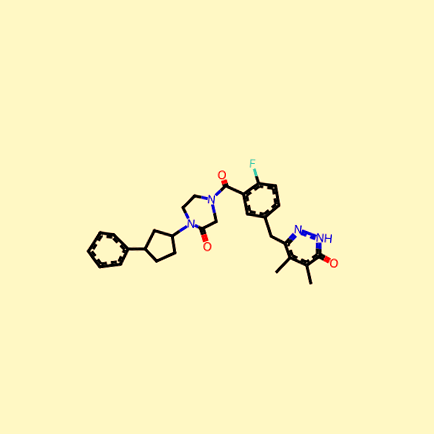 Cc1c(Cc2ccc(F)c(C(=O)N3CCN(C4CCC(c5ccccc5)C4)C(=O)C3)c2)n[nH]c(=O)c1C